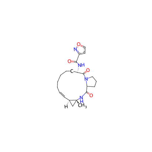 C[C@@]12C[C@H]1/C=C\CCCCC[C@H](NC(=O)c1ccon1)C(=O)N1CCCC1C(=O)N2